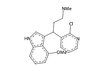 CNCCC(c1cccnc1Cl)c1c[nH]c2cccc(OC)c12